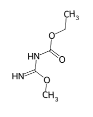 CCOC(=O)NC(=N)OC